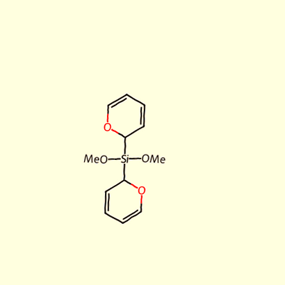 CO[Si](OC)(C1C=CC=CO1)C1C=CC=CO1